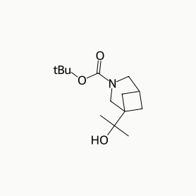 CC(C)(C)OC(=O)N1CC2CC(C(C)(C)O)(C2)C1